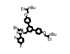 CCCCC(CC)COc1ccc(-c2cc(Cn3nc(Br)nc3-c3ccc(F)cc3F)cc(-c3ccc(OCC(CC)CCCC)cc3)c2)cc1